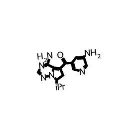 CC(C)C1CC(C(=O)c2cncc(N)c2)=C2C(N)=NC=NN21